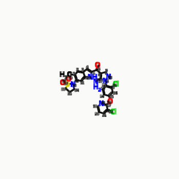 Cc1cc2cc(C(=O)c3cnn(-c4ccc(Oc5ncccc5Cl)cc4Cl)c3N)[nH]c2cc1N1CCCS1(=O)=O